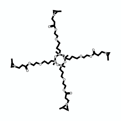 CC1CN1CCC(=O)OCCOCCC[Si]1(C)O[Si](C)(CCCOCCOC(=O)CCN2CC2C)O[Si](C)(CCCOCCOC(=O)CCN2CC2C)O[Si](C)(CCCOCCOC(=O)CCN2CC2C)O1